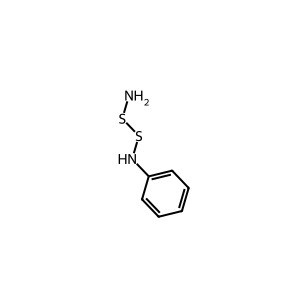 NSSNc1ccccc1